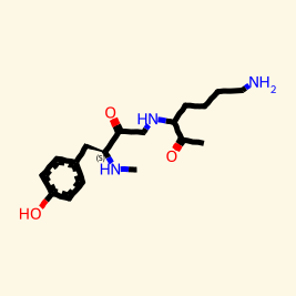 CN[C@@H](Cc1ccc(O)cc1)C(=O)CNC(CCCCN)C(C)=O